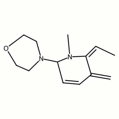 C=C1C=CC(N2CCOCC2)N(C)/C1=C/C